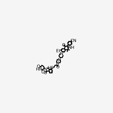 CCc1cc2c(cc1N1CCC(N3CCN(C(=O)CC=[SH]c4cccc5c4CN(C4CCC(=O)NC4=O)C5=O)CC3)CC1)C(C)(C)c1[nH]c3cc(C#N)ccc3c1C2=O